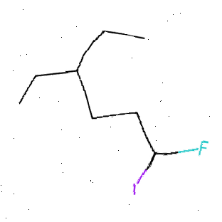 CCC(CC)CCC(F)I